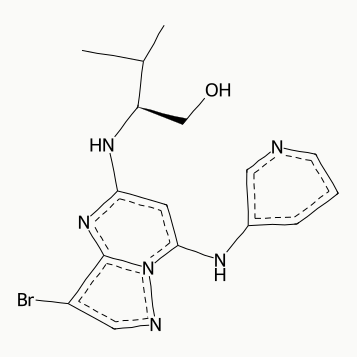 CC(C)[C@@H](CO)Nc1cc(Nc2cccnc2)n2ncc(Br)c2n1